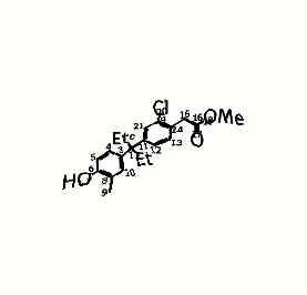 CCC(CC)(c1ccc(O)c(C)c1)c1ccc(CC(=O)OC)c(Cl)c1